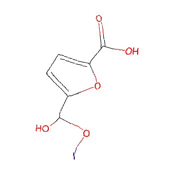 O=C(O)c1ccc(C(O)OI)o1